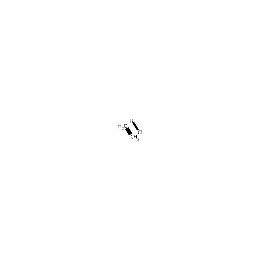 C=C.[Li][Cl]